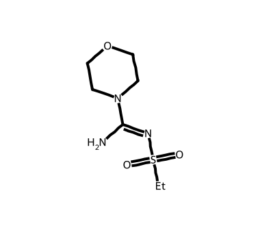 CCS(=O)(=O)N=C(N)N1CCOCC1